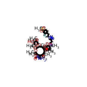 CC[C@H]1OC(=O)[C@H](C)[C@@H](O[C@H]2C[C@@](C)(OC)[C@@H](O)[C@H](C)O2)[C@H](C)[C@@H](O[C@@H]2O[C@H](C)C[C@H](N(C)CCc3cn([C@H](CF)Cc4ccc(S(C)(=O)=O)cc4)nn3)[C@H]2O)[C@](C)(OC)C[C@@H](C)C(=O)[C@H](C)[C@H]2N(N)C(=O)O[C@]12C